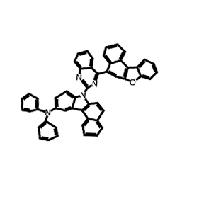 c1ccc(N(c2ccccc2)c2ccc3c(c2)c2c4ccccc4ccc2n3-c2nc(-c3cc4oc5ccccc5c4c4ccccc34)c3ccccc3n2)cc1